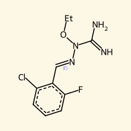 CCON(/N=C/c1c(F)cccc1Cl)C(=N)N